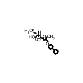 CSCC[C@H](NC(=O)c1cc(COc2ccc(-c3ccccc3)cc2)c(C)o1)C(=O)O